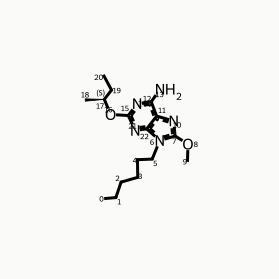 CCCCCCn1c(OC)nc2c(N)nc(O[C@@H](C)CC)nc21